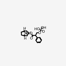 CN1[C@@H]2CC[C@H]1C[C@@H](OC(=O)C(COP(=O)(O)O)c1ccccc1)C2